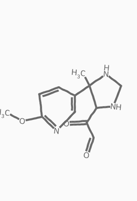 COc1ccc(C2(C)NCNC2C(=O)C=O)cn1